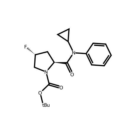 CC(C)(C)OC(=O)N1C[C@H](F)C[C@H]1C(=O)N(c1ccccc1)C1CC1